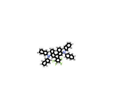 Fc1c(F)c(F)c2c3cc(N(c4ccc5ccccc5c4)c4ccc5ccccc5c4)c4ccccc4c3c3c4ccccc4c(N(c4ccc5ccccc5c4)c4ccc5ccccc5c4)cc3c2c1F